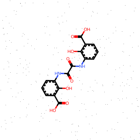 O=C(Nc1cccc(C(=O)O)c1O)C(=O)Nc1cccc(C(=O)O)c1O